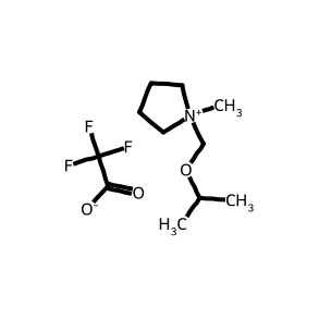 CC(C)OC[N+]1(C)CCCC1.O=C([O-])C(F)(F)F